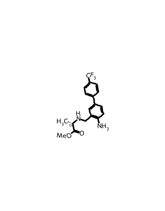 COC(=O)[C@H](C)NCc1cc(-c2ccc(C(F)(F)F)cc2)ccc1N